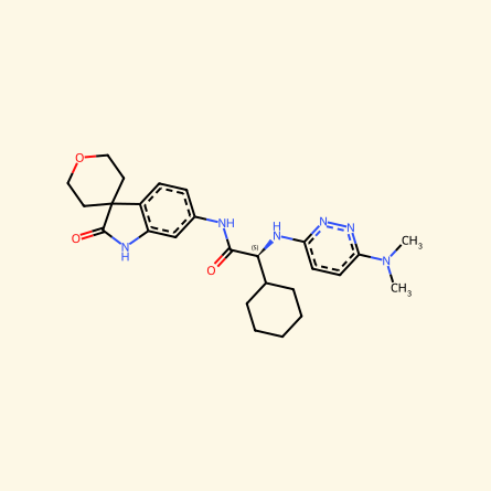 CN(C)c1ccc(N[C@H](C(=O)Nc2ccc3c(c2)NC(=O)C32CCOCC2)C2CCCCC2)nn1